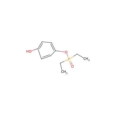 CCP(=O)(CC)Oc1ccc(O)cc1